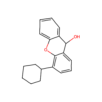 OC1c2ccccc2Oc2c(C3CCCCC3)cccc21